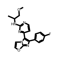 COCC(C)Nc1nccc(-c2c(-c3ccc(F)cc3)nc3occn23)n1